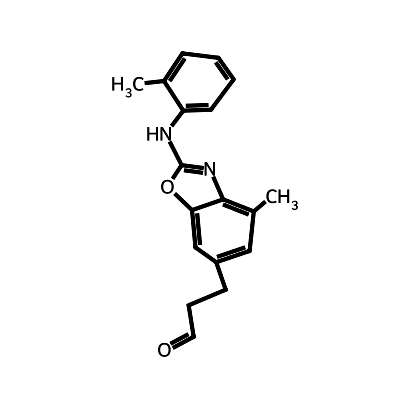 Cc1ccccc1Nc1nc2c(C)cc(CCC=O)cc2o1